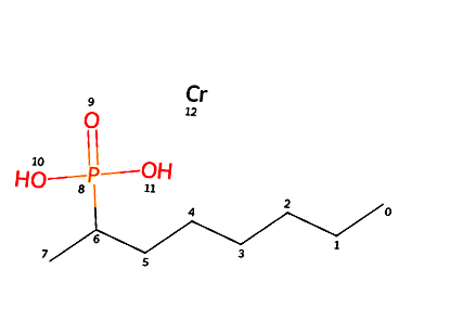 CCCCCCC(C)P(=O)(O)O.[Cr]